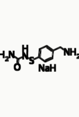 NCc1ccc(SNC(N)=O)cc1.[NaH]